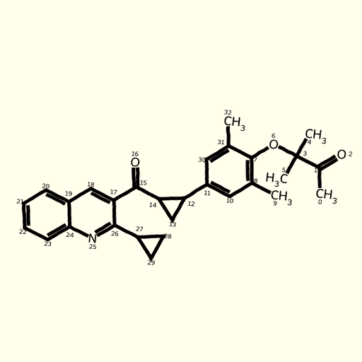 CC(=O)C(C)(C)Oc1c(C)cc(C2CC2C(=O)c2cc3ccccc3nc2C2CC2)cc1C